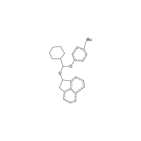 CCC(C)c1ccc(OC(OC2Cc3cccc4cccc2c34)C2CCCCC2)cc1